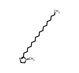 CCCCCCCCCCCCCCCCCC1=NCCN1C